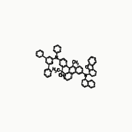 Cc1c2c3c(cccc3c3cc(N(c4cccc5ccccc45)c4cccc5c4oc4ccccc45)ccc13)C(C)(C)c1cc(N(c3ccccc3)c3cc(-c4ccccc4)cc(-c4ccccc4)c3)ccc1-2